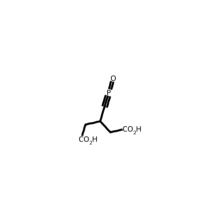 O=P#CC(CC(=O)O)CC(=O)O